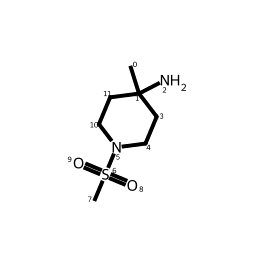 CC1(N)CCN(S(C)(=O)=O)CC1